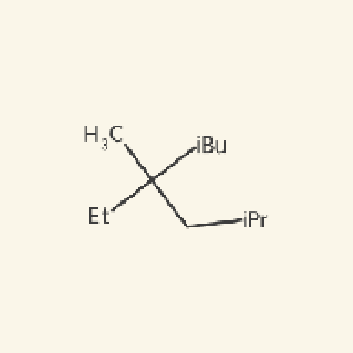 [CH2]C(C)CC(C)(CC)C(C)CC